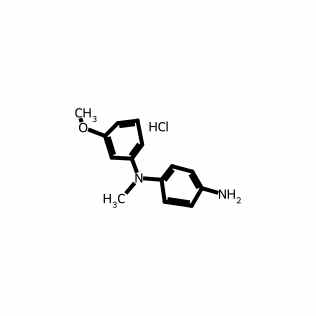 COc1cccc(N(C)c2ccc(N)cc2)c1.Cl